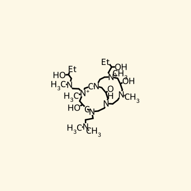 CCC(O)CN(C)CC[N+]1(C)CCN2CC[N+](C)(CC(O)CC)CC(O)CN(C)CCN(CCN(CCN(C)C)CC(O)C1)CC(O)C2